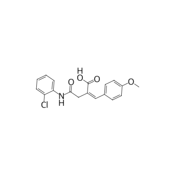 COc1ccc(C=C(CC(=O)Nc2ccccc2Cl)C(=O)O)cc1